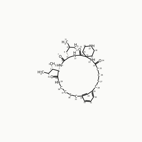 CC[C@H](C)[C@@H]1NC(=O)[C@H](CC(C)C)NC(=O)C2(CCNCC2)NC(=O)CCSCc2cccc(c2)CSCCNC1=O